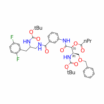 CCCC(=O)O[C@H](C(=O)Nc1cccc(C(=O)NCC(Cc2cc(F)ccc2F)NC(=O)OC(C)(C)C)c1)[C@@H](COCc1ccccc1)NC(=O)OC(C)(C)C